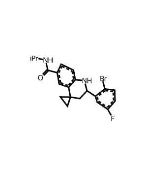 CC(C)NC(=O)c1ccc2c(c1)C1(CC1)CC(c1cc(F)ccc1Br)N2